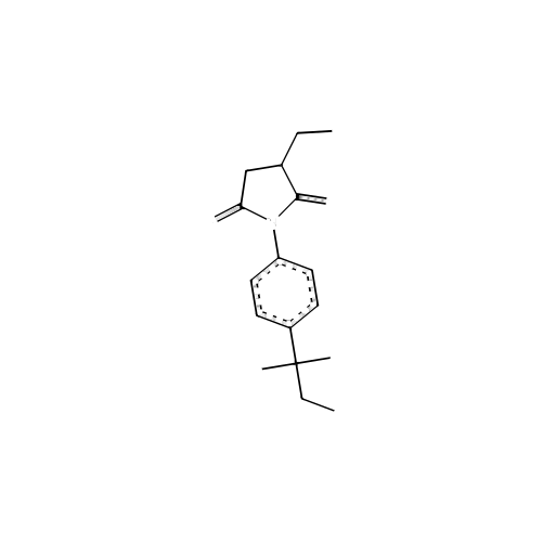 CCC1CC(=O)N(c2ccc(C(C)(C)CC)cc2)C1=O